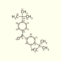 CC(C)(C)c1ccc([P](=O)c2ccc(C(C)(C)C)cc2)cc1